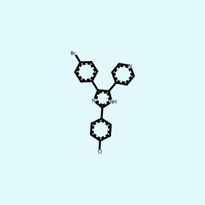 Clc1ccc(-c2nc(-c3ccc(Br)cc3)c(-c3ccncc3)[nH]2)cc1